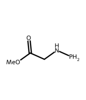 COC(=O)CNP